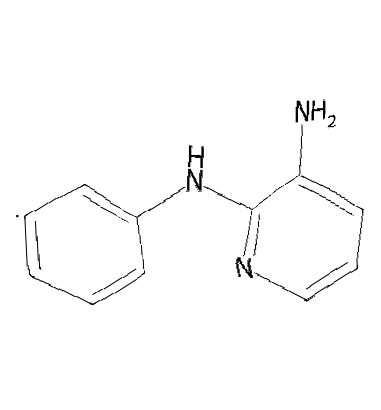 Nc1cccnc1Nc1c[c]ccc1